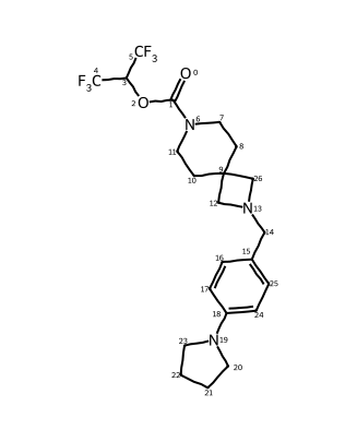 O=C(OC(C(F)(F)F)C(F)(F)F)N1CCC2(CC1)CN(Cc1ccc(N3CCCC3)cc1)C2